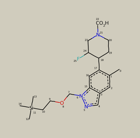 Cc1cc2cnn(COCC[Si](C)(C)C)c2cc1C1CCN(C(=O)O)CC1F